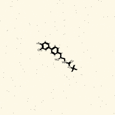 CC(C)(C)OC(=O)NC[C@@H](O)Cc1ccc(-c2ccc(F)c(Cl)c2)cc1